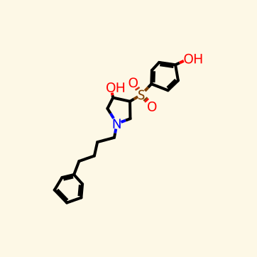 O=S(=O)(c1ccc(O)cc1)C1CN(CCCCc2ccccc2)CC1O